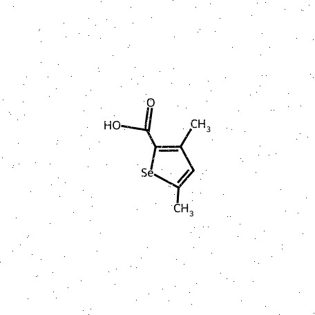 Cc1cc(C)c(C(=O)O)[se]1